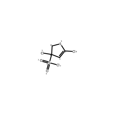 O=S(=O)(Cl)C1(Cl)C=C(Cl)SC1